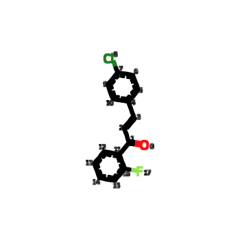 O=C(/C=C/c1ccc(Cl)cc1)c1ccccc1F